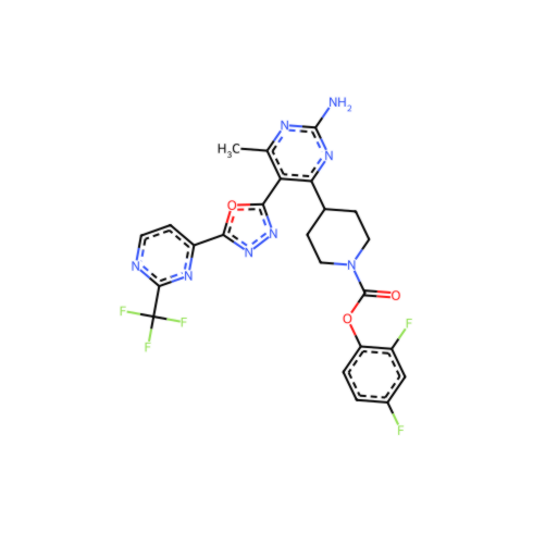 Cc1nc(N)nc(C2CCN(C(=O)Oc3ccc(F)cc3F)CC2)c1-c1nnc(-c2ccnc(C(F)(F)F)n2)o1